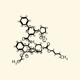 CCCCOC(=O)N1CCN(C(=O)C(NC(=O)c2cc(N3CCC[C@@H]3OC)nc(-c3ccccc3)n2)c2ccccc2P(=O)(OCC)OCC)CC1